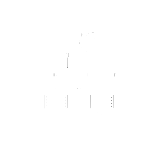 O=C(Nc1nccs1)Nc1cc(F)ccc1Oc1ccccc1C(F)(F)F